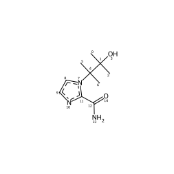 CC(C)(O)C(C)(C)n1c[c]nc1C(N)=O